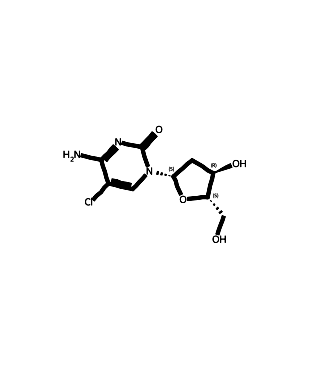 Nc1nc(=O)n([C@@H]2C[C@@H](O)[C@H](CO)O2)cc1Cl